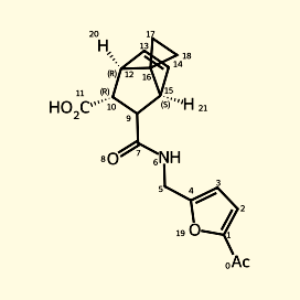 CC(=O)c1ccc(CNC(=O)C2[C@H](C(=O)O)[C@H]3C=C[C@@H]2C32CC2)o1